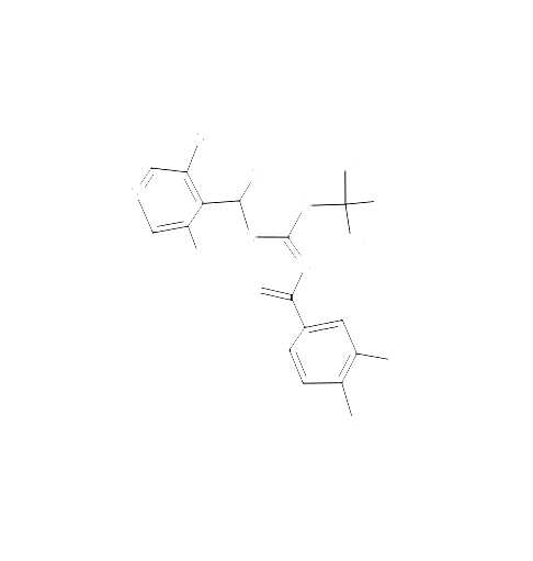 CC(C)(C)N/C(=N/C(=O)c1ccc(F)c(F)c1)NC(N)c1c(N)cncc1F